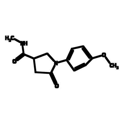 CNC(=O)C1CC(=O)N(c2ccc(OC)cc2)C1